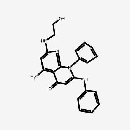 Cc1cc(NCCO)nc2c1c(=O)cc(Nc1ccccc1)n2-c1ccccc1